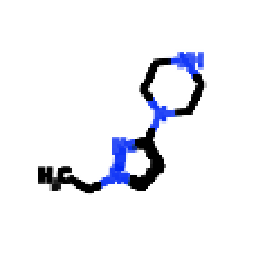 CCn1ccc(N2CCNCC2)n1